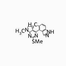 CSc1nc(-c2c(C)ccc3[nH]ncc23)c2c(n1)N(C)CC2